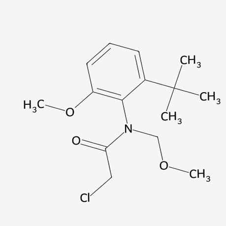 COCN(C(=O)CCl)c1c(OC)cccc1C(C)(C)C